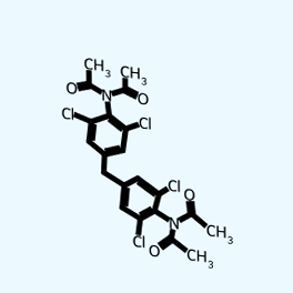 CC(=O)N(C(C)=O)c1c(Cl)cc(Cc2cc(Cl)c(N(C(C)=O)C(C)=O)c(Cl)c2)cc1Cl